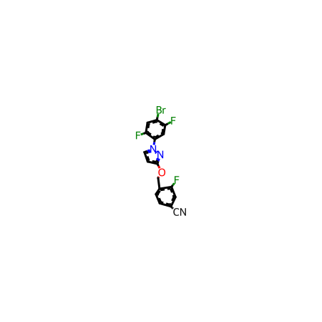 N#Cc1ccc(COc2ccn(-c3cc(F)c(Br)cc3F)n2)c(F)c1